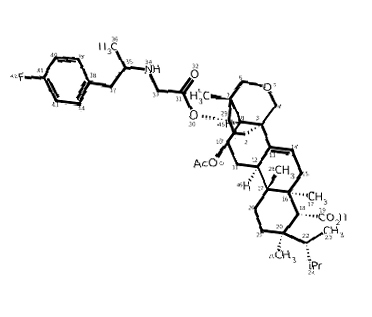 CC(=O)O[C@@H]1C[C@@]23COC[C@](C)([C@@H]2CC[C@H]2C3=CC[C@@]3(C)[C@H](C(=O)O)[C@@](C)([C@H](C)C(C)C)CC[C@]23C)[C@H]1OC(=O)CNC(C)Cc1ccc(F)cc1